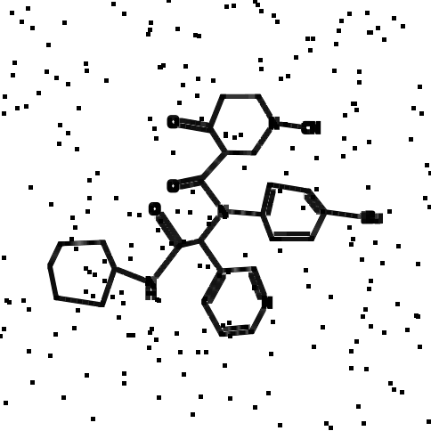 CC(C)(C)c1ccc(N(C(=O)C2CN(C#N)CCC2=O)C(C(=O)NC2CCCCC2)c2cccnc2)cc1